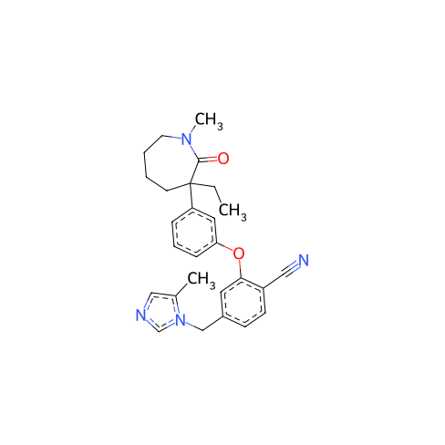 CCC1(c2cccc(Oc3cc(Cn4cncc4C)ccc3C#N)c2)CCCCN(C)C1=O